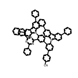 N#Cc1ccc(-c2ccc(-n3c4ccc(-c5ccccc5)cc4c4cc(-c5ccccc5)ccc43)c(-c3ccc(-n4c5ccc(-c6ccccc6)cc5c5cc(-c6ccccc6)ccc54)c(-c4nc(-c5ccccc5)nc(-c5ccccc5)n4)c3)c2)cc1